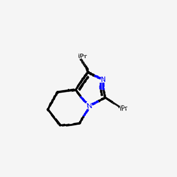 CC(C)c1nc(C(C)C)n2c1CCCC2